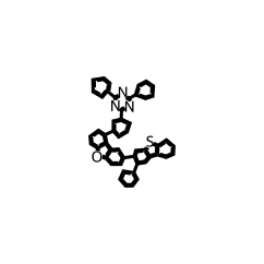 c1ccc(-c2nc(-c3ccccc3)nc(-c3cccc(-c4cccc5oc6ccc(-c7cc8sc9ccccc9c8cc7-c7ccccc7)cc6c45)c3)n2)cc1